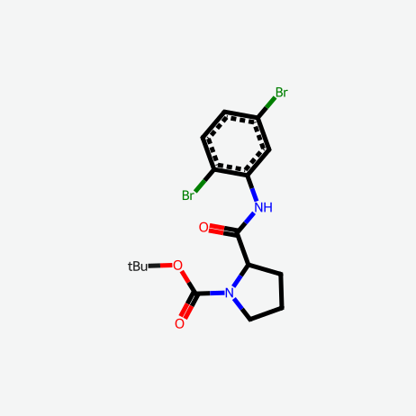 CC(C)(C)OC(=O)N1CCCC1C(=O)Nc1cc(Br)ccc1Br